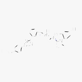 Cc1ccc(N2C(=O)CS/C2=N\C(=S)N/N=C/c2cccc(-c3ncn(-c4ccc(OC(F)(F)F)cc4)n3)c2)c(C(C)C)c1